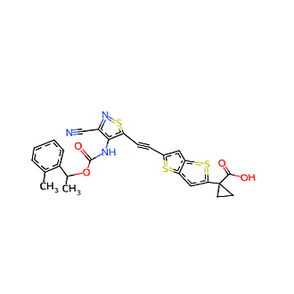 Cc1ccccc1C(C)OC(=O)Nc1c(C#N)nsc1C#Cc1cc2sc(C3(C(=O)O)CC3)cc2s1